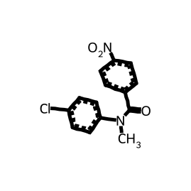 CN(C(=O)c1ccc([N+](=O)[O-])cc1)c1ccc(Cl)cc1